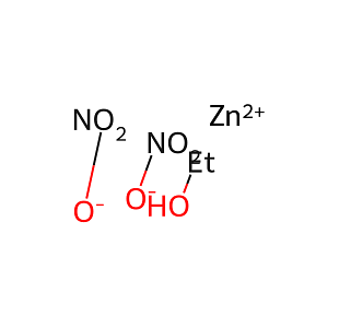 CCO.O=[N+]([O-])[O-].O=[N+]([O-])[O-].[Zn+2]